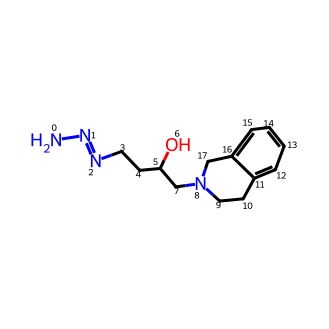 NN=NCCC(O)CN1CCc2ccccc2C1